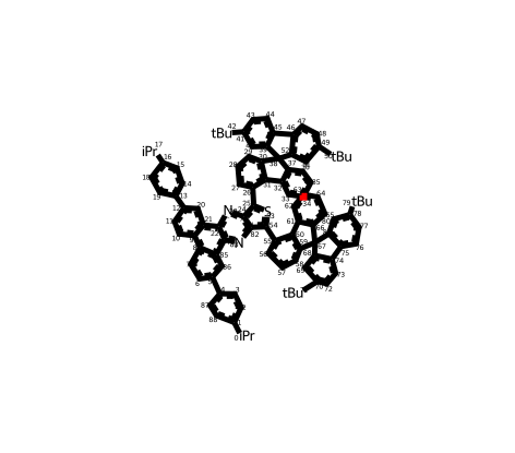 CC(C)c1ccc(-c2ccc3c4ccc(-c5ccc(C(C)C)cc5)cc4c4nc5c(-c6cccc7c6-c6ccccc6C76c7cc(C(C)(C)C)ccc7-c7ccc(C(C)(C)C)cc76)sc(-c6cccc7c6-c6ccccc6C76c7cc(C(C)(C)C)ccc7-c7ccc(C(C)(C)C)cc76)c5nc4c3c2)cc1